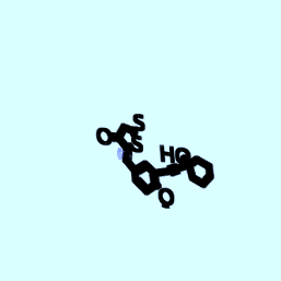 COc1ccc(/C=C2\SC(=S)CC2=O)cc1C#CC1(O)CCCCC1